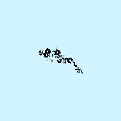 CC(=O)OCCCN1CCC(CNC(=O)[C@@H]2CCCN2S(=O)(=O)c2ccc(Cl)c(COc3cccc4c(-n5cncn5)cc(C)nc34)c2Cl)CC1